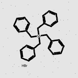 Br.c1ccc([CH2][Sb]([CH2]c2ccccc2)([CH2]c2ccccc2)[CH2]c2ccccc2)cc1